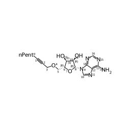 CCCCCC#CCOC[C@H]1O[C@@H](n2cnc3c(N)ncnc32)[C@H](O)[C@@H]1O